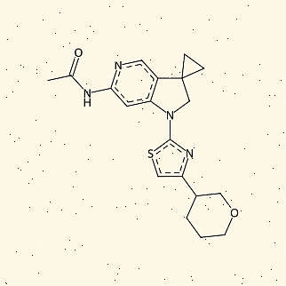 CC(=O)Nc1cc2c(cn1)C1(CC1)CN2c1nc(C2CCCOC2)cs1